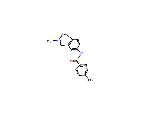 CCCCc1ccc(C(=O)Nc2ccc3c(c2)CN(C)CC3)cc1